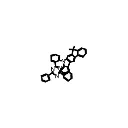 CC1(C)c2ccccc2-c2cc3c4ccccc4n(-c4ccccc4-c4nc(-c5ccccc5)nc(-c5ccccc5)n4)c3cc21